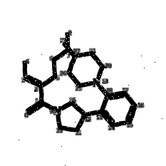 C=C(/C(=C/C)CCCC)N1CCC(c2ccccc2N2CCC(C)CC2)C1